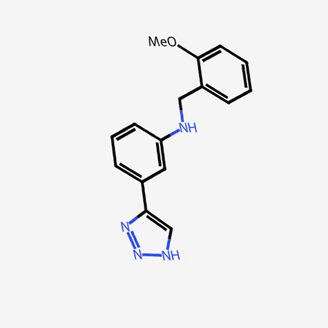 COc1ccccc1CNc1cccc(-c2c[nH]nn2)c1